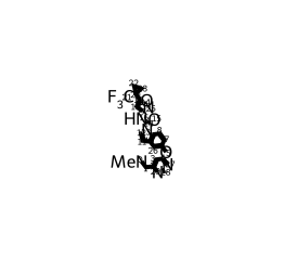 CNCc1cc(Oc2ccc3c(ccn3C(=O)Nc3cc(C4(C(F)(F)F)CC4)on3)c2)ncn1